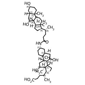 C[C@H](CCC(=O)N[C@H]1CC[C@@]2(C)[C@@H](C1)C[C@@H](O)[C@@H]1[C@@H]2C[C@H](O)[C@]2(C)[C@@H]([C@H](C)CCC(=O)O)CC[C@@H]12)[C@H]1CC[C@H]2[C@@H]3[C@H](O)C[C@@H]4C[C@H](O)CC[C@]4(C)[C@H]3CC[C@]12C